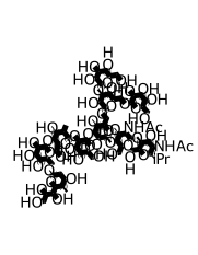 CC(=O)NC1[C@H](O[C@@H]2C(CO)O[C@@H](C(C)C)C(NC(C)=O)[C@H]2O)OC(CO)[C@@H](O[C@@H]2OC(CO[C@H]3OC(CO[C@H]4OC(CO)[C@@H](O)[C@H](O)C4O)[C@@H](O)[C@H](O[C@H]4OC(CO)[C@@H](O)C(O)C4O)C3O)[C@@H](O)[C@H](O[C@H]3OC(CO)[C@@H](O)[C@H](O)C3O[C@@H]3OC(CO)[C@@H](O[C@@H]4OC(CO[C@@H]5CC(O)[C@@H](C)C(C(O)C(O)CO)O5)[C@H](O)[C@H](O)C4O)[C@H](O)C3C)C2O)[C@@H]1O